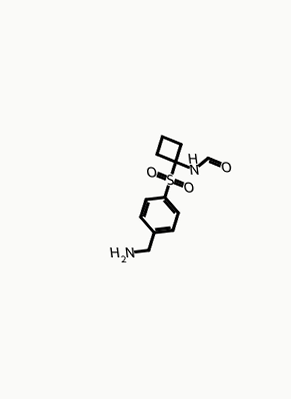 NCc1ccc(S(=O)(=O)C2(NC=O)CCC2)cc1